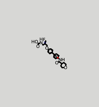 O=C(O)NC/C(=C\F)COc1ccc(C23CCC(NC(=O)C4CCOCC4)(CC2)CC3)cc1